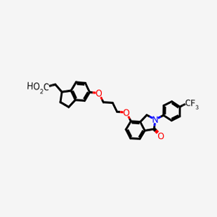 O=C(O)CC1CCc2cc(OCCCOc3cccc4c3CN(c3ccc(C(F)(F)F)cc3)C4=O)ccc21